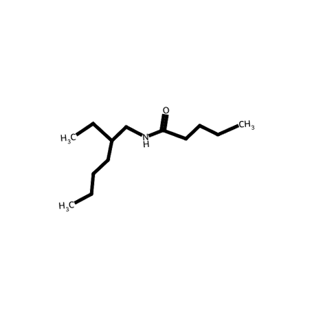 CCCCC(=O)NCC(CC)CCCC